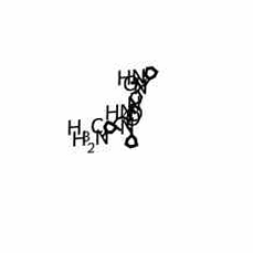 Cc1cc2c(cc1N)CN(Cc1ccccc1)C(=O)[C@H](NC(=O)N1CCC(N3Cc4ccccc4NC3=O)CC1)C2